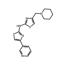 c1cncc(-c2csc(Nc3nc(CN4CCCCC4)cs3)n2)c1